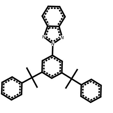 CC(C)(c1ccccc1)c1cc(-n2nc3ccccc3n2)cc(C(C)(C)c2ccccc2)c1